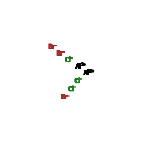 [Al+3].[Al+3].[Br-].[Br-].[Br-].[Cl-].[Cl-].[Cl-]